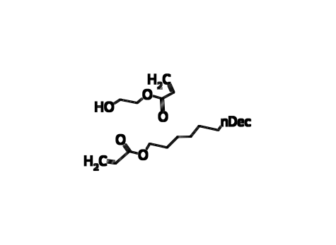 C=CC(=O)OCCCCCCCCCCCCCCCC.C=CC(=O)OCCO